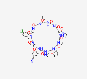 CC[C@H](C)[C@@H]1NC(=O)[C@H](C)N(C)C(=O)C[C@@H](C(=O)N2CCCC2)NC(=O)[C@H](CC(C)C)N(C)C(=O)[C@H](Cc2ccccc2)N(C)C(=O)[C@H](CC(C)C)NC(=O)[C@H](Cc2cccc(C#N)c2)NC(=O)CN(C)C(=O)[C@H](Cc2ccc(Cl)cc2)N(C)C(=O)CN(C)C(=O)CN(C)C1=O